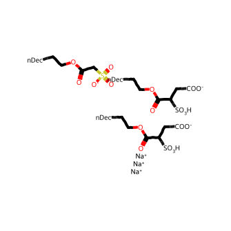 CCCCCCCCCCCCOC(=O)C(CC(=O)[O-])S(=O)(=O)O.CCCCCCCCCCCCOC(=O)C(CC(=O)[O-])S(=O)(=O)O.CCCCCCCCCCCCOC(=O)CS(=O)(=O)[O-].[Na+].[Na+].[Na+]